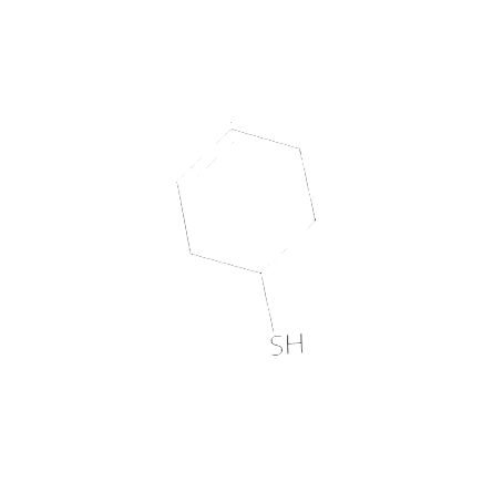 SC1CC=[C]CC1